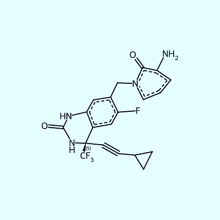 Nc1cccn(Cc2cc3c(cc2F)[C@@](C#CC2CC2)(C(F)(F)F)NC(=O)N3)c1=O